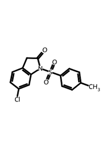 Cc1ccc(S(=O)(=O)N2C(=O)Cc3ccc(Cl)cc32)cc1